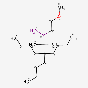 CCCCC(CCCC)(CCCC)C(C)(C)P(P)CCOC